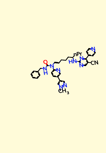 CCC[C@H](CCC/C=C/N(C(=O)NCc1ccccc1)c1ccc(-c2cnn(C)c2)cn1)Nc1ncc(C#N)c(-c2ccncc2)n1